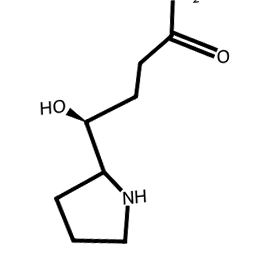 NC(=O)CC[C@H](O)C1CCCN1